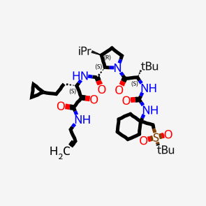 C=CCNC(=O)C(=O)[C@H](CCC1CC1)NC(=O)[C@@H]1[C@@H](C(C)C)CCN1C(=O)[C@@H](NC(=O)NC1(CS(=O)(=O)C(C)(C)C)CCCCC1)C(C)(C)C